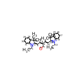 CCN1/C(=C/C=C(C=O)/C=C/C2=[N+](CC)c3ccccc3C2(C)C)C(C)(C)c2ccccc21